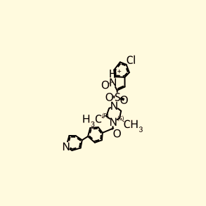 C[C@@H]1CN(S(=O)(=O)C2=Cc3cc(Cl)ccc3[NH+]2[O-])C[C@H](C)N1C(=O)c1ccc(-c2ccncc2)cc1